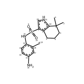 CC1(C)CCCc2c(S(=O)(=O)Nc3ccc(N)cc3F)c[nH]c21